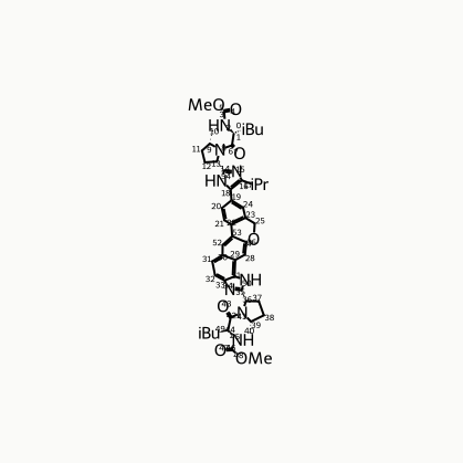 CC[C@@H](C)[C@H](NC(=O)OC)C(=O)N1[C@@H](C)CC[C@H]1c1nc(C(C)C)c(-c2ccc3c(c2)COc2cc4c(ccc5nc([C@@H]6CC[C@H](C)N6C(=O)[C@@H](NC(=O)OC)[C@H](C)CC)[nH]c54)cc2-3)[nH]1